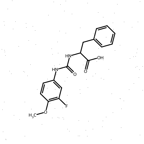 COc1ccc(NC(=O)NC(Cc2ccccc2)C(=O)O)cc1F